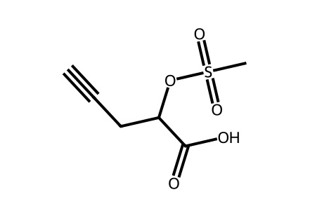 C#CCC(OS(C)(=O)=O)C(=O)O